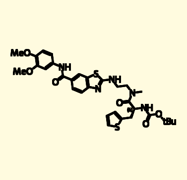 COc1ccc(NC(=O)c2ccc3nc(NCCN(C)C(=O)[C@H](Cc4cccs4)NC(=O)OC(C)(C)C)sc3c2)cc1OC